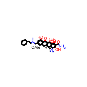 COc1c(CNCCC2CCCCC2)cc(O)c2c1C[C@H]1C[C@H]3[C@H](N(C)C)C(O)=C(C(N)=O)C(=O)[C@@]3(O)C(O)=C1C2=O